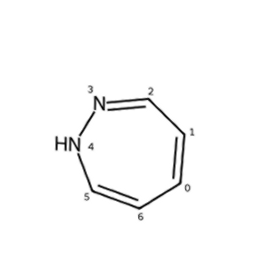 C1=CC=NNC=C1